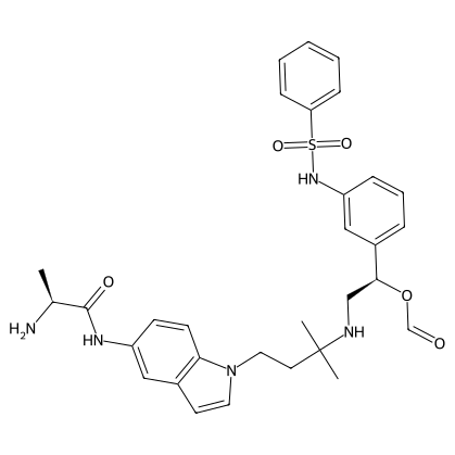 C[C@H](N)C(=O)Nc1ccc2c(ccn2CCC(C)(C)NC[C@H](OC=O)c2cccc(NS(=O)(=O)c3ccccc3)c2)c1